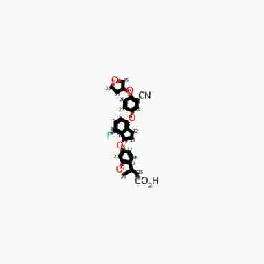 N#Cc1cc(Oc2ccc(F)c3c2CC[C@H]3Oc2ccc3c(c2)OCC3CC(=O)O)ccc1OC1CCOC1